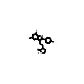 C=C1NCCC1CCc1c(-c2ccc(F)cc2)[nH]c2c(F)cc(C)cc12